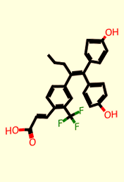 CCCC(=C(c1ccc(O)cc1)c1ccc(O)cc1)c1ccc(C=CC(=O)O)c(C(F)(F)F)c1